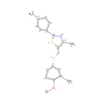 CCOc1ccc(SCc2sc(-c3ccc(C)cc3)nc2C)cc1C